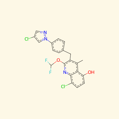 Cc1c(Cc2ccc(-n3cc(Cl)cn3)cc2)c(OC(F)F)nc2c(Cl)ccc(O)c12